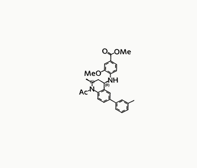 COC(=O)c1ccc(N[C@@H]2C[C@H](C)N(C(C)=O)c3ccc(-c4cccc(C)c4)cc32)c(OC)c1